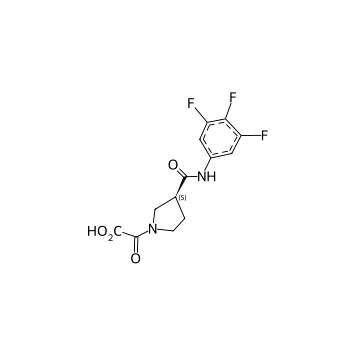 O=C(O)C(=O)N1CC[C@H](C(=O)Nc2cc(F)c(F)c(F)c2)C1